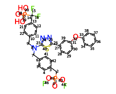 O=P(Cc1ccc(CN(Cc2ccc(C(F)(F)P(=O)(O)O)cc2)c2nnc(-c3cccc(Oc4ccccc4)c3)s2)cc1)(OF)OF